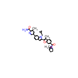 Cc1cc(-c2ccc3cc(-c4oc5cc(C(=O)N6CC7CCC6[C@@H]7C)ccc5c4C)n(CC4CC4)c3c2)cnc1C(N)=O